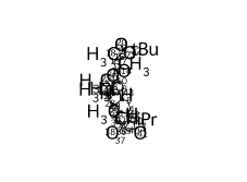 CC(C)C1=C2[C@H]3CC[C@@H]4[C@@]5(C)CC[C@H](OC(=O)CC(C)(C)C(=O)OC(C)(C)C)C(C)(C)[C@@H]5CC[C@@]4(C)[C@]3(C)CC[C@@]2([C@@H]2CO2)CC1=O